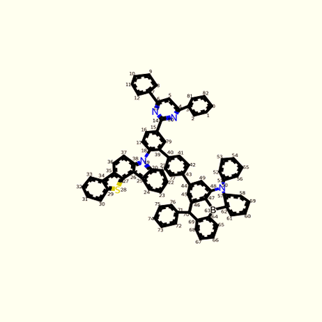 c1ccc(-c2cc(-c3ccccc3)nc(-c3ccc(-n4c5ccccc5c5c6sc7ccccc7c6ccc54)c(-c4ccc(-c5cc6c7c(c5)N(c5ccccc5)c5ccccc5B7c5ccccc5C6c5ccccc5)cc4)c3)n2)cc1